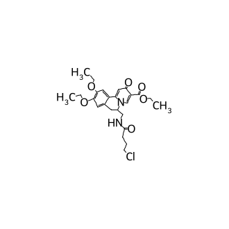 CCOC(=O)c1cn2c(cc1=O)-c1cc(OCC)c(OCC)cc1CC2CNC(=O)CCCCl